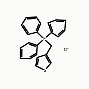 [Cl-].c1ccc([P+](Cc2ccsc2)(c2ccccc2)c2ccccc2)cc1